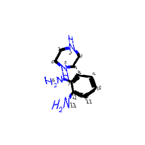 C1CNCCN1.Nc1ccccc1N